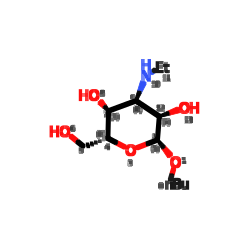 CCCCO[C@H]1O[C@H](CO)[C@@H](O)[C@@H](NCC)[C@H]1O